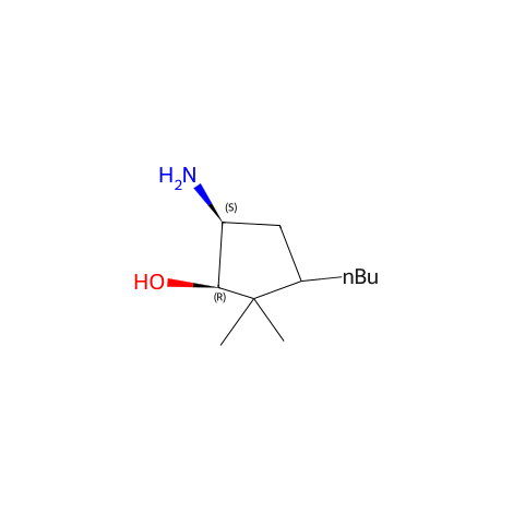 CCCCC1C[C@H](N)[C@H](O)C1(C)C